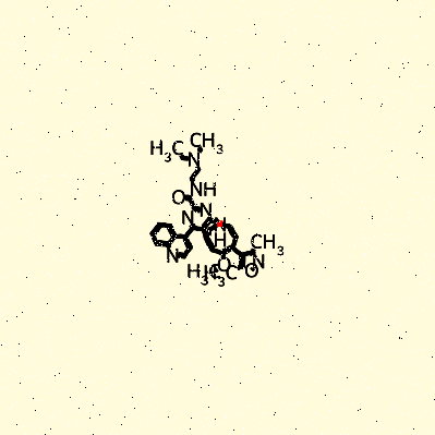 CCN(CC)CCNC(=O)c1nc2c(c(-c3ccnc4ccccc34)n1)/C1=C/C(OC)=C(c3c(C)noc3C)\C=C(/CC1)N2